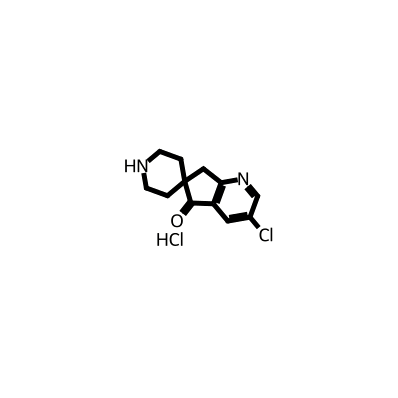 Cl.O=C1c2cc(Cl)cnc2CC12CCNCC2